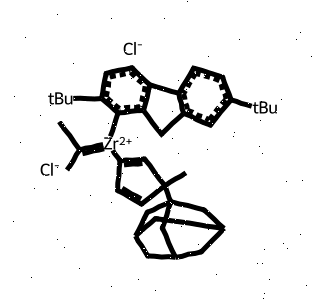 C[C](C)=[Zr+2]([C]1=CC(C)(C23CC4CC(CC(C4)C2)C3)C=C1)[c]1c(C(C)(C)C)ccc2c1Cc1cc(C(C)(C)C)ccc1-2.[Cl-].[Cl-]